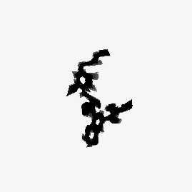 CN(C(=O)O)c1cc2c(c(C(=O)NC[C@@H]3CCN(CCCO)CC3O)c1)OCCO2